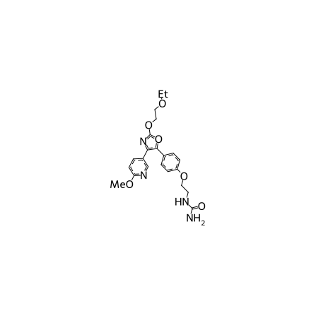 CCOCCOc1nc(-c2ccc(OC)nc2)c(-c2ccc(OCCNC(N)=O)cc2)o1